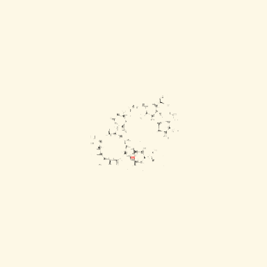 CC[C@H]1OC(=O)[C@H](C)[C@@H](O[C@H]2C[C@@](C)(OC)[C@@H](O)[C@H](C)O2)C(C)[C@@H](O[C@@H]2O[C@H](C)C[C@H](N(C)C)[C@H]2O)[C@](C)(OC)C[C@@H](C)C(=O)[C@H](C)[C@@H](O)[C@]1(C)O.O=C(O)[C@H](O)[C@@H](O)[C@H](O[C@@H]1O[C@H](CO)[C@H](O)[C@H](O)[C@H]1O)[C@H](O)CO